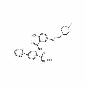 CN1CCC(CCOc2ccc(O)c(C(=O)Nc3cc(-c4ccccc4)ccc3C(=O)O)c2)CC1.Cl